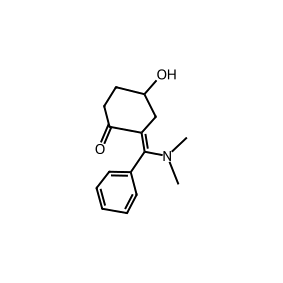 CN(C)C(=C1CC(O)CCC1=O)c1ccccc1